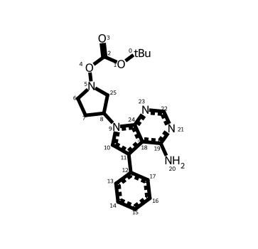 CC(C)(C)OC(=O)ON1CCC(n2cc(-c3ccccc3)c3c(N)ncnc32)C1